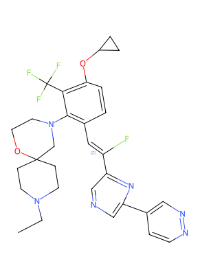 CCN1CCC2(CC1)CN(c1c(/C=C(\F)c3cncc(-c4ccnnc4)n3)ccc(OC3CC3)c1C(F)(F)F)CCO2